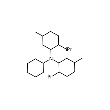 CC1CCC(C(C)C)C(N(C2CCCCC2)C2CC(C)CCC2C(C)C)C1